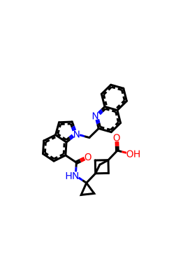 O=C(NC1(C23CC(C(=O)O)(C2)C3)CC1)c1cccc2ccn(Cc3ccc4ccccc4n3)c12